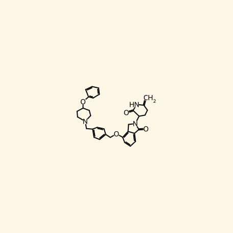 C=C1CCC(N2Cc3c(OCc4ccc(CN5CCC(Oc6ccccc6)CC5)cc4)cccc3C2=O)C(=O)N1